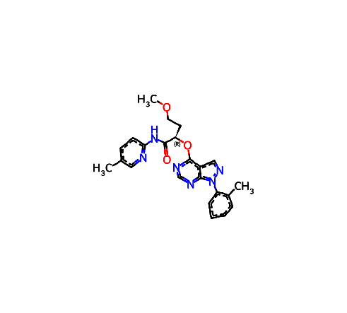 COCC[C@@H](Oc1ncnc2c1cnn2-c1ccccc1C)C(=O)Nc1ccc(C)cn1